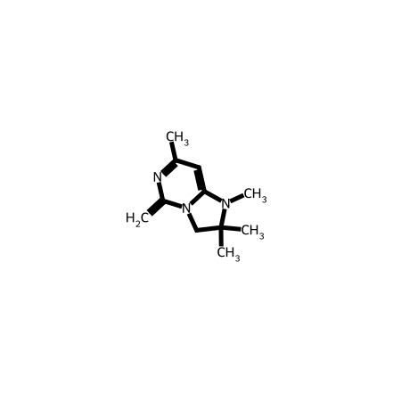 C=C1N=C(C)C=C2N1CC(C)(C)N2C